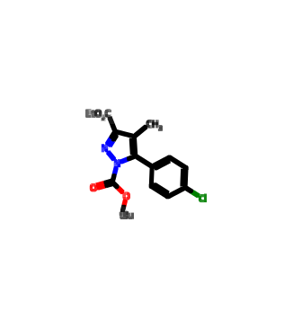 CCOC(=O)c1nn(C(=O)OC(C)(C)C)c(-c2ccc(Cl)cc2)c1C